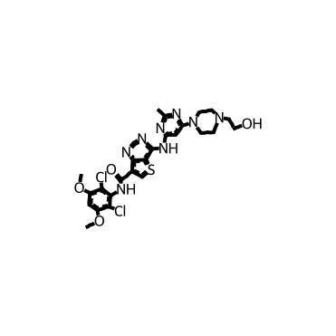 COc1cc(OC)c(Cl)c(NC(=O)c2csc3c(Nc4cc(N5CCN(CCO)CC5)nc(C)n4)ncnc23)c1Cl